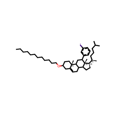 CCCCCCCCCCCCOC1CC[C@@]2(C)C(=CCC3C4CC[C@H]([C@H](C)CCCC(C)C)[C@@]4(C)C(c4cccc(I)c4)CC32)C1